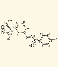 Cc1ccc([S+]([O-])N=Cc2cccc(-c3c(C)noc3C)c2)cc1